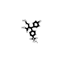 CS(=O)(=O)c1ccc(C(=C(CCO)C(=O)O)c2ccc(Cl)cc2)cc1